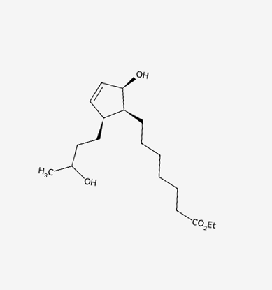 CCOC(=O)CCCCCC[C@@H]1[C@H](O)C=C[C@@H]1CCC(C)O